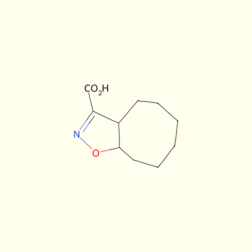 O=C(O)C1=NOC2CCCCCCC12